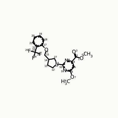 COC(=O)c1cc(OC)nc(N2CCC(COc3ccccc3C(F)(F)F)C2)n1